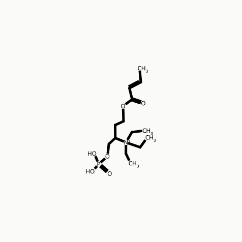 CC=CC(=O)OCCC(COP(=O)(O)O)[N+](CC)(CC)CC